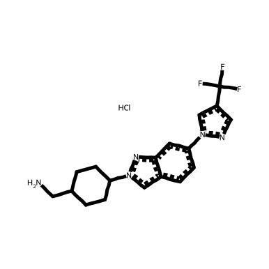 Cl.NCC1CCC(n2cc3ccc(-n4cc(C(F)(F)F)cn4)cc3n2)CC1